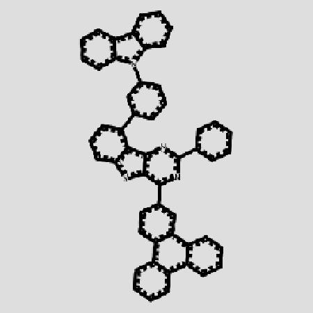 c1ccc(-c2nc(-c3ccc4c5ccccc5c5ccccc5c4c3)c3sc4cccc(-c5cccc(-n6c7ccccc7c7ccccc76)c5)c4c3n2)cc1